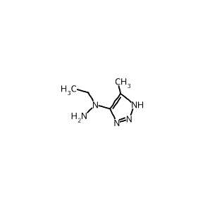 CCN(N)c1nn[nH]c1C